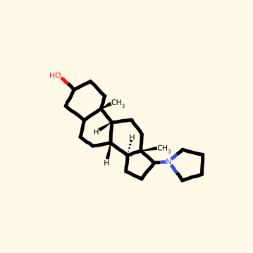 C[C@]12CCC(O)CC1CC[C@@H]1[C@H]2CC[C@]2(C)C(N3CCCC3)CC[C@@H]12